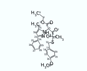 CCOC(=O)C(C(=O)C(C)(C)SCc1ccc(OC)cc1)n1nc(-c2ccccc2)cc1C